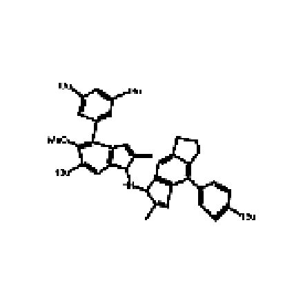 COc1c(C(C)(C)C)cc2c(c1-c1cc(C(C)(C)C)cc(C(C)(C)C)c1)C=C(C)C2NC1C(C)=Cc2c1cc1c(c2-c2ccc(C(C)(C)C)cc2)CCC1